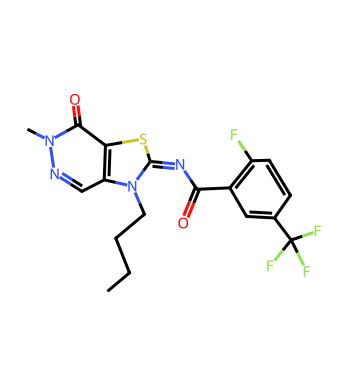 CCCCn1c(=NC(=O)c2cc(C(F)(F)F)ccc2F)sc2c(=O)n(C)ncc21